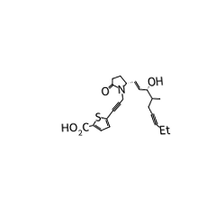 CCC#CCC(C)[C@@H](O)/C=C/[C@H]1CCC(=O)N1CC#Cc1ccc(C(=O)O)s1